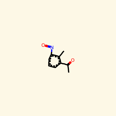 CC(=O)c1cccc(N=O)c1C